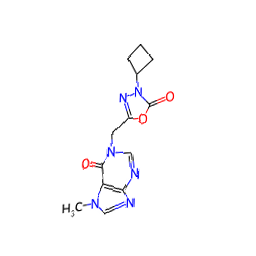 Cn1cnc2ncn(Cc3nn(C4CCC4)c(=O)o3)c(=O)c21